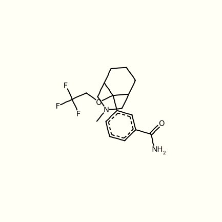 CN1CC2CCCC(C1)C2(OCC(F)(F)F)c1cccc(C(N)=O)c1